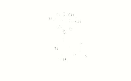 Cc1ncc(B2OC(C)(C)C(C)(C)O2)cc1OC(F)F